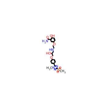 Cn1nc(S(C)(=O)=O)nc1-c1ccc(OCC(O)CNCCOc2ccc(O)c(C(N)=O)c2)cc1